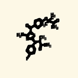 CC(C(N)=O)N(c1ccc(F)cc1)c1nc(N)c(C(=O)c2ccc(OC(C)(C)C(N)=O)cc2)s1